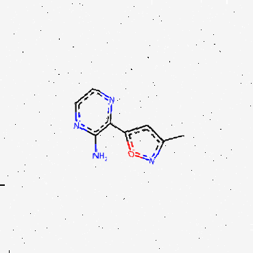 Cc1cc(-c2nccnc2N)on1